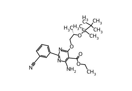 CCOC(=O)c1c(N)nc(-c2cccc(C#N)c2)nc1OC[C@H](C)O[Si](C)(C)C(C)(C)C